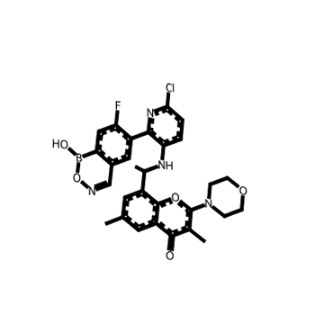 Cc1cc(C(C)Nc2ccc(Cl)nc2-c2cc3c(cc2F)B(O)ON=C3)c2oc(N3CCOCC3)c(C)c(=O)c2c1